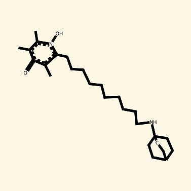 Cc1c(C)n(O)c(CCCCCCCCCCNC23CCC(CC2)CC3)c(C)c1=O